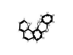 C1=COC2C(=C1)C=Cc1ccc3c(c12)Oc1ccccc1O3